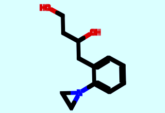 OCCC(O)Cc1ccccc1N1CC1